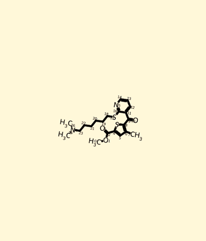 COC(=O)c1cc(C)c(C(=O)c2cccnc2SCCCCCCN(C)C)s1